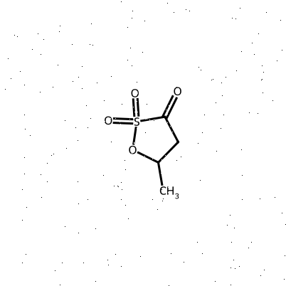 CC1CC(=O)S(=O)(=O)O1